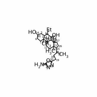 CC[C@@H]1C2C[C@H](O)CCC2(C)[C@H]2CCC3(C)C([C@H](C)CCc4nnc(N)o4)CC[C@H]3C2[C@@H]1O